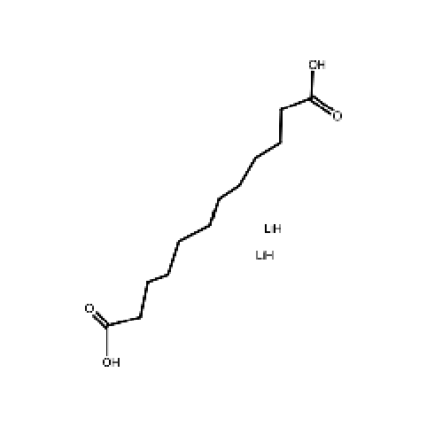 O=C(O)CCCCCCCCCCC(=O)O.[LiH].[LiH]